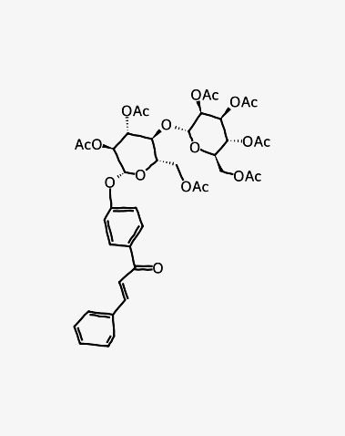 CC(=O)OC[C@@H]1O[C@H](Oc2ccc(C(=O)/C=C/c3ccccc3)cc2)[C@@H](OC(C)=O)[C@H](OC(C)=O)[C@H]1O[C@H]1O[C@H](COC(C)=O)[C@@H](OC(C)=O)[C@H](OC(C)=O)[C@@H]1OC(C)=O